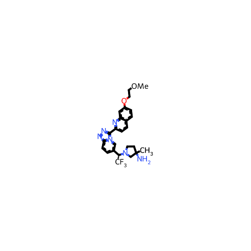 COCCOc1ccc2ccc(-c3nnc4ccc([C@@H](N5CCC(C)(N)C5)C(F)(F)F)cn34)nc2c1